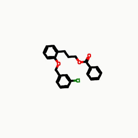 O=C(OCCCc1ccccc1OCc1cccc(Cl)c1)c1ccccc1